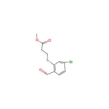 COC(=O)CCSc1cc(Br)ccc1C=O